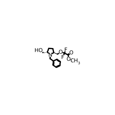 COC(=O)C(F)(F)OC[C@@H]1CC[C@@H](CO)N1Cc1ccccc1